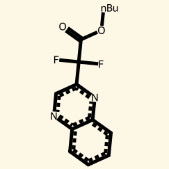 CCCCOC(=O)C(F)(F)c1cnc2ccccc2n1